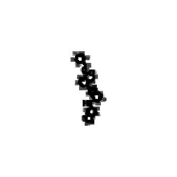 CCC1C(c2cc3c(Nc4ccc5scnc5c4)ccnc3s2)CCCN1C(=O)OCc1ccccc1